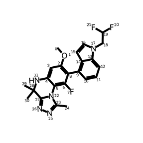 COc1cc2c(c(F)c1-c1cccc3c1ccn3CC(F)F)-n1c(C)nnc1C(C)(C)N2